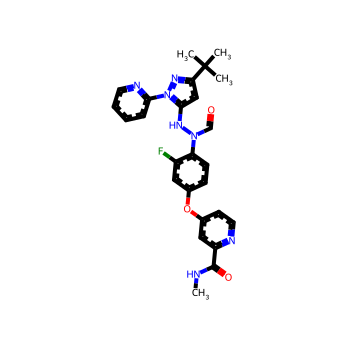 CNC(=O)c1cc(Oc2ccc(N(C=O)Nc3cc(C(C)(C)C)nn3-c3ccccn3)c(F)c2)ccn1